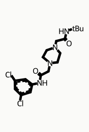 CC(C)(C)NC(=O)CN1CCN(CC(=O)Nc2cc(Cl)cc(Cl)c2)CC1